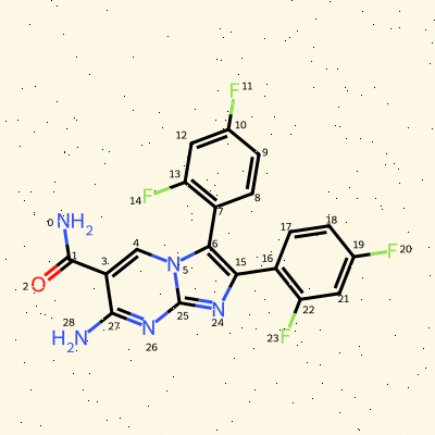 NC(=O)c1cn2c(-c3ccc(F)cc3F)c(-c3ccc(F)cc3F)nc2nc1N